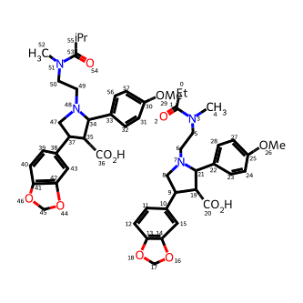 CCC(=O)N(C)CCN1CC(c2ccc3c(c2)OCO3)C(C(=O)O)C1c1ccc(OC)cc1.COc1ccc(C2C(C(=O)O)C(c3ccc4c(c3)OCO4)CN2CCN(C)C(=O)C(C)C)cc1